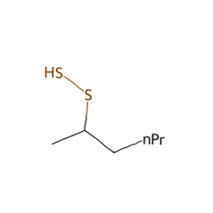 CCCCC(C)SS